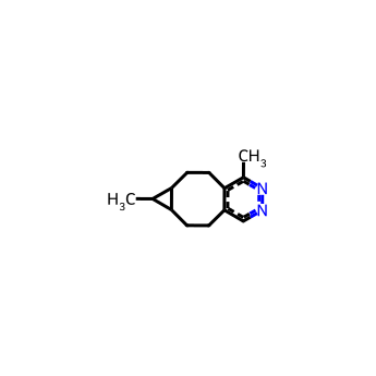 Cc1nncc2c1CCC1C(C)C1CC2